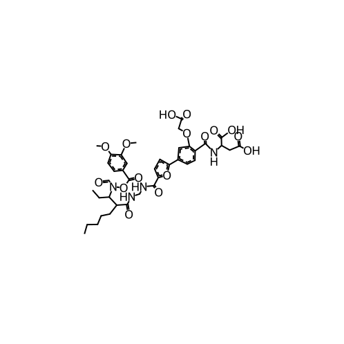 CCCCCC(C(=O)NCNC(=O)c1ccc(-c2ccc(C(=O)NC(CC(=O)O)C(=O)O)c(OCC(=O)O)c2)o1)C(CC)N(C=O)OC(=O)c1ccc(OC)c(OC)c1